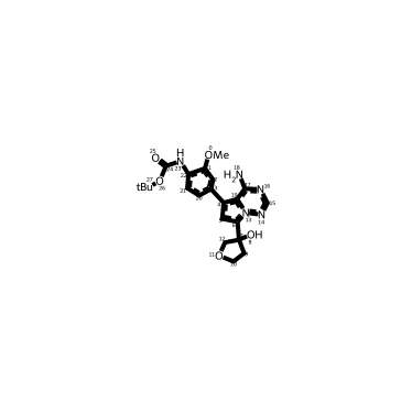 COc1cc(-c2cc(C3(O)CCOC3)n3ncnc(N)c23)ccc1NC(=O)OC(C)(C)C